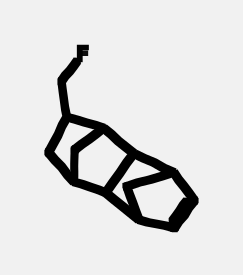 FCC1CC2CC1C1C3C=CC(C3)C21